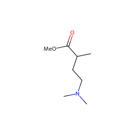 COC(=O)C(C)CCN(C)C